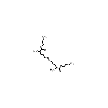 CCCCOC(=O)C(C)CCCN=NCCCC(C)C(=O)OCCCC